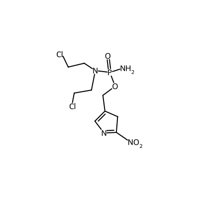 NP(=O)(OCC1=CN=C([N+](=O)[O-])C1)N(CCCl)CCCl